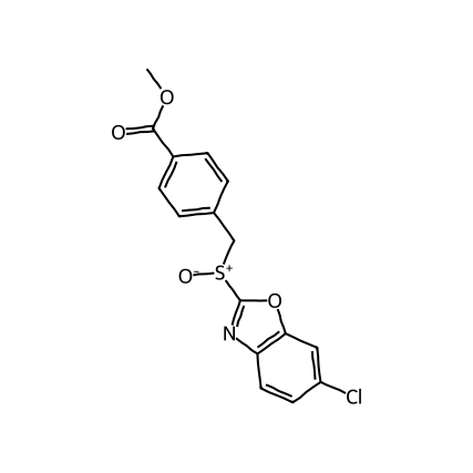 COC(=O)c1ccc(C[S+]([O-])c2nc3ccc(Cl)cc3o2)cc1